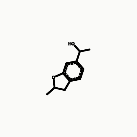 CC1Cc2ccc(C(C)O)cc2O1